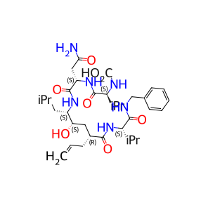 C=CC[C@H](C[C@H](O)[C@H](CC(C)C)NC(=O)[C@H](CC(N)=O)NC(=O)[C@@H](NC(=O)O)C(C)C)C(=O)N[C@H](C(=O)NCc1ccccc1)C(C)C